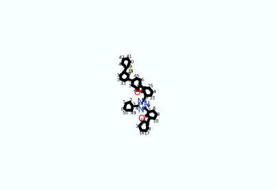 c1ccc(-c2nc(-c3cccc4c3oc3ccccc34)nc(-c3cccc4c3oc3cc(-c5cccc6c5sc5ccccc56)ccc34)n2)cc1